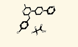 C[C@H]1CN(C2CCN(c3cccnc3)CC2)[C@@H](Cc2ccc(Cl)cc2)CO1.O=C(O)C(F)(F)F